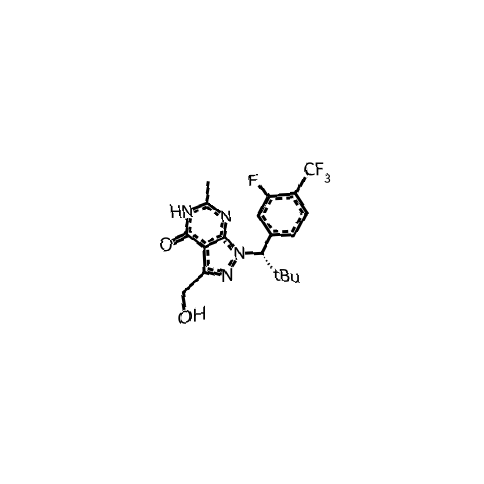 Cc1nc2c(c(CO)nn2[C@H](c2ccc(C(F)(F)F)c(F)c2)C(C)(C)C)c(=O)[nH]1